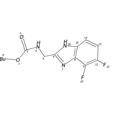 CC(C)(C)OC(=O)NCc1nc2c(F)c(F)ccc2[nH]1